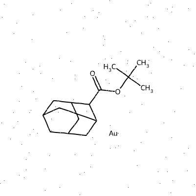 CC(C)(C)OC(=O)C1C2CC3CC(C2)CC1C3.[Au]